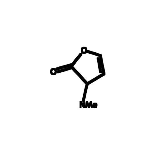 CNC1C=COC1=O